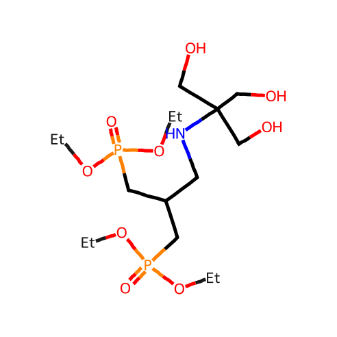 CCOP(=O)(CC(CNC(CO)(CO)CO)CP(=O)(OCC)OCC)OCC